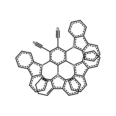 N#Cc1c(C#N)c(-n2c3ccccc3c3ccccc32)c(-n2c3ccccc3c3ccccc32)c(-n2c3c(c4ccccc42)=CCCC=3)c1-n1c2ccccc2c2ccccc21